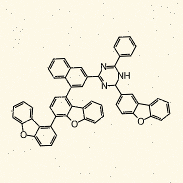 c1ccc(C2=NC(c3cc(-c4ccc(-c5cccc6oc7ccccc7c56)c5oc6ccccc6c45)c4ccccc4c3)=NC(c3ccc4oc5ccccc5c4c3)N2)cc1